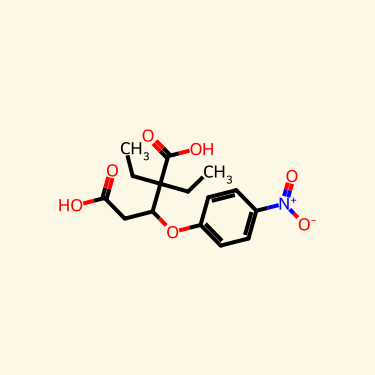 CCC(CC)(C(=O)O)C(CC(=O)O)Oc1ccc([N+](=O)[O-])cc1